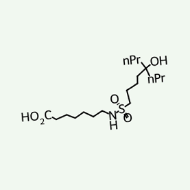 CCCC(O)(CCC)CCCCS(=O)(=O)NCCCCCCC(=O)O